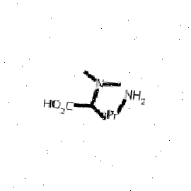 CC(C(=O)O)N(C)C.CCCN